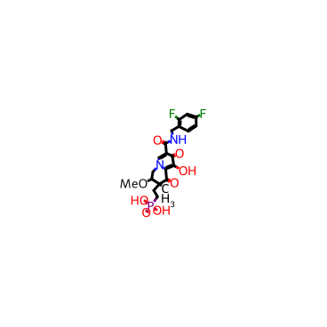 COC1Cn2cc(C(=O)NCc3ccc(F)cc3F)c(=O)c(O)c2C(=O)C1(C)CCP(=O)(O)O